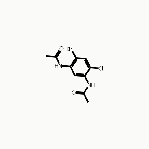 CC(=O)Nc1cc(NC(C)=O)c(Br)cc1Cl